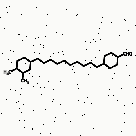 CC1CCC(CCCCCCCCCCC2CCC(C=O)CC2)CC1C